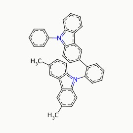 Cc1ccc2c(c1)c1cc(C)ccc1n2-c1ccccc1-c1ccc2c(c1)c1ccccc1n2-c1ccccc1